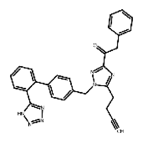 C#CCCc1nc(C(=O)Cc2ccccc2)nn1Cc1ccc(-c2ccccc2-c2nnn[nH]2)cc1